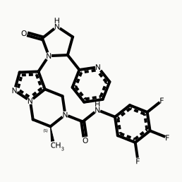 C[C@H]1Cn2ncc(N3C(=O)NCC3c3ccccn3)c2CN1C(=O)Nc1cc(F)c(F)c(F)c1